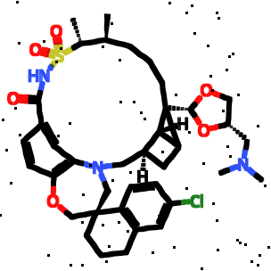 C[C@@H]1[C@@H](C)CCCC2([C@@H]3OC[C@H](CN(C)C)O3)C3C[C@@H](CN4C[C@@]5(CCCc6cc(Cl)ccc65)COc5ccc(cc54)C(=O)NS1(=O)=O)[C@@H]32